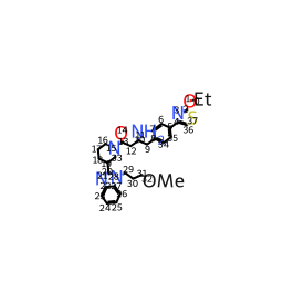 CCOc1nc(-c2ccc(CC(N)CC(=O)N3CCCC(c4nc5ccccc5n4CCCOC)C3)cc2)cs1